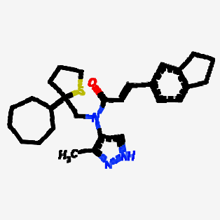 Cc1n[nH]cc1N(CC1(C2CCCCCC2)CCCS1)C(=O)/C=C/c1ccc2c(c1)CCC2